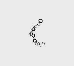 CCOC(=O)c1ccc(-c2ccc3c(c2)ncn3-c2ccc(OCCOC3CCCCO3)cc2)cc1